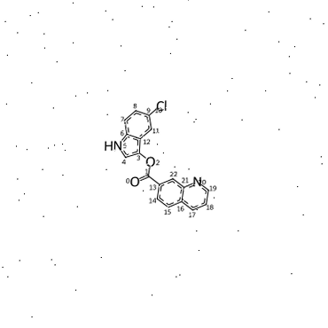 O=C(Oc1c[nH]c2ccc(Cl)cc12)c1ccc2cccnc2c1